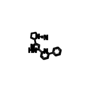 N#CN1CCCC1c1cc(-c2cccc(-c3ccccc3)n2)[nH]n1